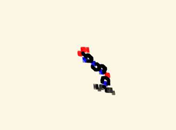 CC(C)N1CCC(Oc2ccc3c(n2)CCN(c2ccc(C(=O)O)nc2)C3)CC1